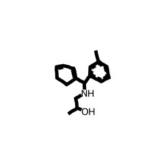 Cc1cccc(C(NCC(C)O)C2=CC=CCC2)c1